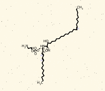 CCCCCCCC/C=C\CCCCCCCCCCCCC(O)C(=O)N[C@@H](COP(=O)(O)OCCN)[C@H](O)/C=C/C=C/CCCCCCCCC